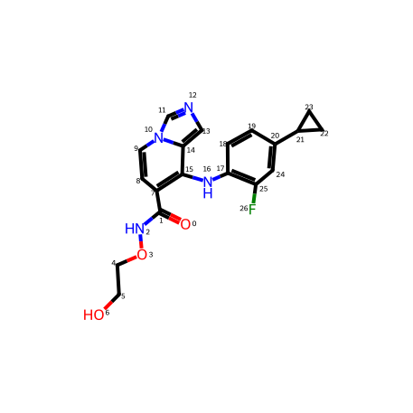 O=C(NOCCO)c1ccn2cncc2c1Nc1ccc(C2CC2)cc1F